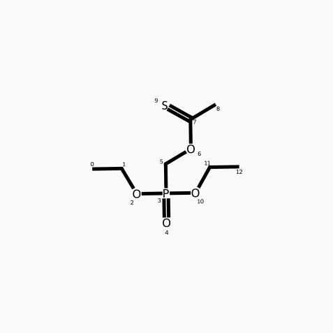 CCOP(=O)(COC(C)=S)OCC